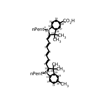 CCCCCN1/C(=C/C=C/C=C/C=C/C2=[N+](CCCCC)c3ccc(C)cc3C2(C)C)C(C)(C)c2cc(C(=O)O)ccc21